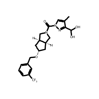 Cc1cn(C(=O)N2C[C@H]3C[C@H](OCc4cccc(C(F)(F)F)c4)C[C@H]3C2)nc1C(O)O